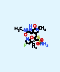 CCNC(=O)c1cc2c(-c3sc(S(N)(=O)=O)cc3Oc3ncc(F)cc3C)cn(C)c(=O)c2[nH]1